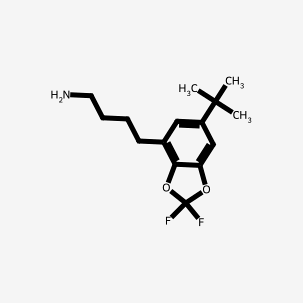 CC(C)(C)c1cc(CCCCN)c2c(c1)OC(F)(F)O2